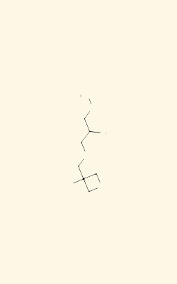 CCCCOCC(O)COCC1(CC)COC1